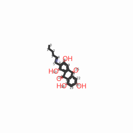 CCCC/C=C/c1c(O)cc2c(c1O)C(=O)c1c(O)cc(O)cc1C2=O